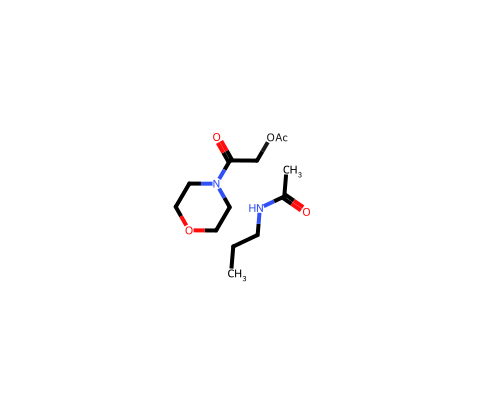 CC(=O)OCC(=O)N1CCOCC1.CCCNC(C)=O